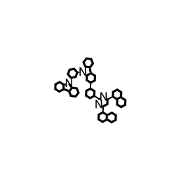 c1cc(-c2ccc3c4ccccc4n(-c4cccc(-n5c6ccccc6c6ccccc65)c4)c3c2)cc(-c2nc(-c3cccc4ccccc34)cc(-c3cccc4ccccc34)n2)c1